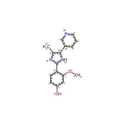 COc1cc(O)ccc1-c1nc(C)c(-c2cccnc2)[nH]1